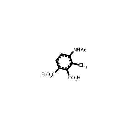 CCOC(=O)c1ccc(NC(C)=O)c(C)c1C(=O)O